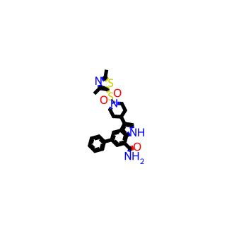 Cc1nc(C)c(S(=O)(=O)N2CCC(c3c[nH]c4c(C(N)=O)cc(-c5ccccc5)cc34)CC2)s1